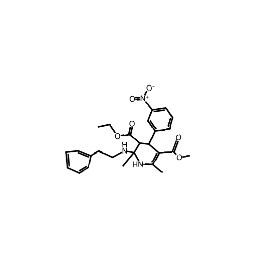 CCOC(=O)C1C(c2cccc([N+](=O)[O-])c2)C(C(=O)OC)=C(C)NC1(C)NCCc1ccccc1